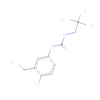 CCc1cc(NC(=O)NCC(C)(C)O)ccc1Br